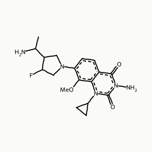 COc1c(N2CC(F)C(C(C)N)C2)ccc2c(=O)n(N)c(=O)n(C3CC3)c12